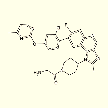 Cc1ccnc(Oc2ccc(-c3cc4c(cc3F)ncc3nc(C)n(C5CCN(C(=O)CN)CC5)c34)c(Cl)c2)n1